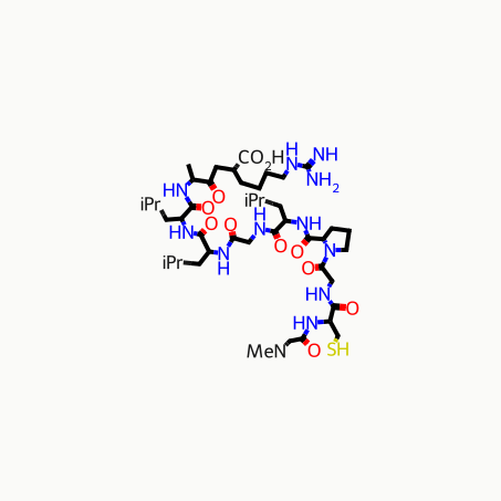 CNCC(=O)NC(CS)C(=O)NCC(=O)N1CCCC1C(=O)NC(CC(C)C)C(=O)NCC(=O)NC(CC(C)C)C(=O)NC(CC(C)C)C(=O)NC(C)C(=O)CC(CCCCNC(=N)N)C(=O)O